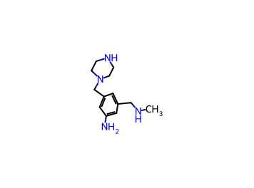 CNCc1cc(N)cc(CN2CCNCC2)c1